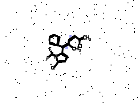 C=C(Cl)/C=C\C(C)=C(/c1ccccc1)c1ccc(Cl)n1B(F)F